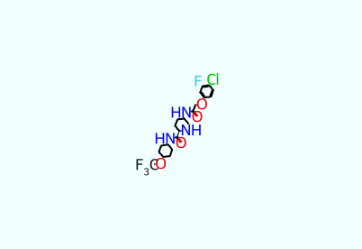 O=C(COc1ccc(Cl)c(F)c1)N[C@H]1CC[C@H](C(=O)NC2CCC(OC(F)(F)F)CC2)NC1